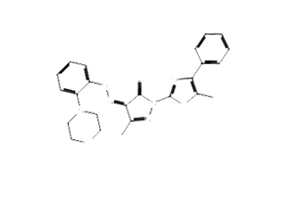 CC1=NN(c2nc(-c3ccccc3)c(C)s2)C(=O)C1=NNc1ccccc1N1CCOCC1